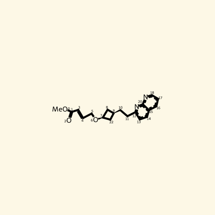 COC(=O)/C=C/CO[C@H]1C[C@@H](CCc2ccc3cccnc3n2)C1